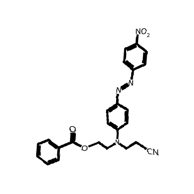 N#CCCN(CCOC(=O)c1ccccc1)c1ccc(/N=N/c2ccc([N+](=O)[O-])cc2)cc1